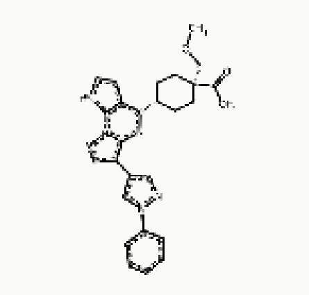 COC[C@]1(C(=O)O)CC[C@H](c2nc3c(-c4cnn(-c5ccccc5)c4)cnn3c3[nH]ccc32)CC1